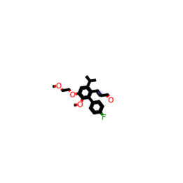 COCCOc1cc(C(C)C)c(/C=C/C=O)c(-c2ccc(F)cc2)c1OC